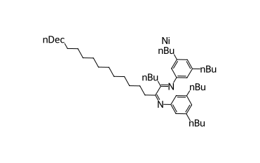 CCCCCCCCCCCCCCCCCCCCCC(=Nc1cc(CCCC)cc(CCCC)c1)C(CCCC)=Nc1cc(CCCC)cc(CCCC)c1.[Ni]